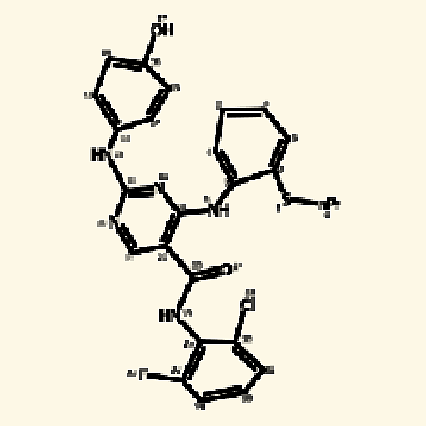 CCCSc1ccccc1Nc1nc(Nc2ccc(O)cc2)ncc1C(=O)Nc1c(F)cccc1Cl